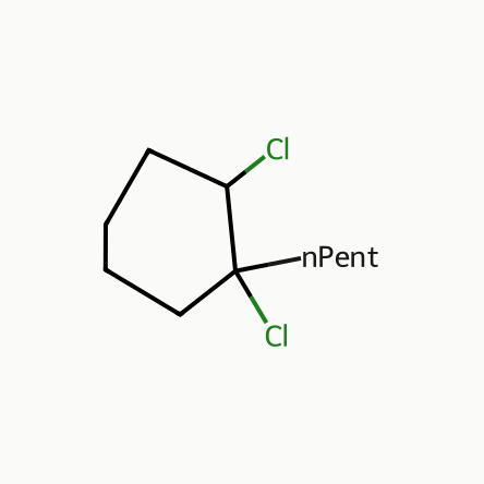 CCCCCC1(Cl)CCCCC1Cl